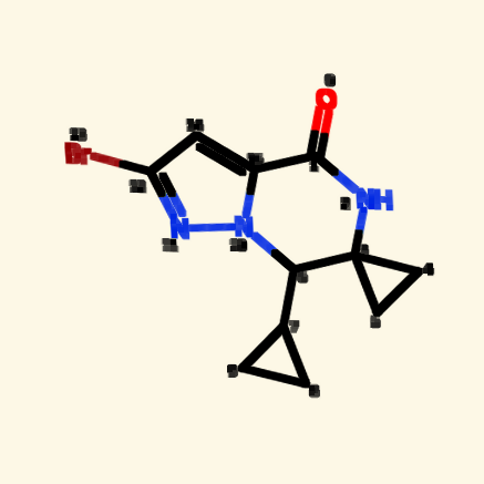 O=C1NC2(CC2)C(C2CC2)n2nc(Br)cc21